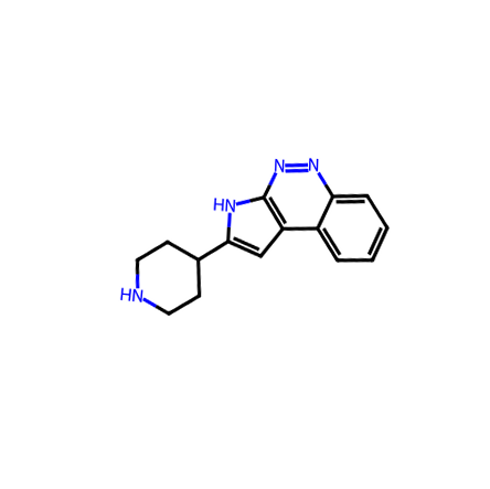 c1ccc2c(c1)nnc1[nH]c(C3CCNCC3)cc12